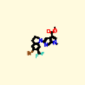 COC(=O)c1cn(C)c2cnc(N3CCCc4cc(Br)c(C(F)F)cc43)cc12